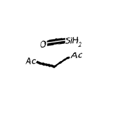 CC(=O)CC(C)=O.O=[SiH2]